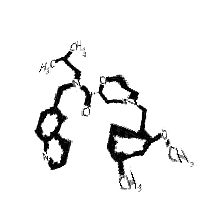 COc1cc(C)ccc1CN1CCO[C@@H](C(=O)N(Cc2ccc3ncccc3c2)CC(C)C)C1